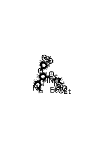 CCOP(=O)(Cc1csc(NC(=O)c2cc(Oc3ccc(S(C)(=O)=O)cc3)cc(-c3ccnc(F)c3)c2)n1)OCC